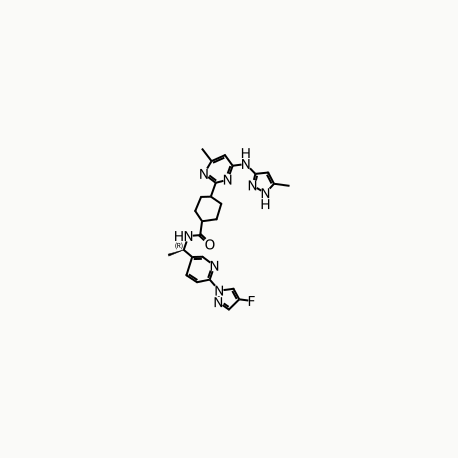 Cc1cc(Nc2cc(C)[nH]n2)nc(C2CCC(C(=O)N[C@H](C)c3ccc(-n4cc(F)cn4)nc3)CC2)n1